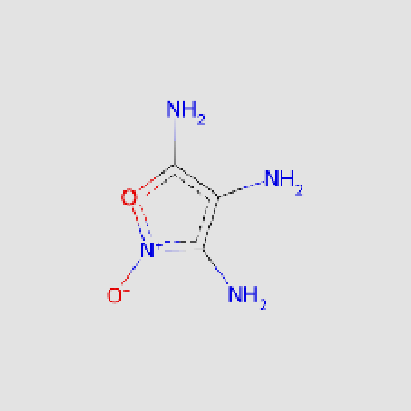 Nc1o[n+]([O-])c(N)c1N